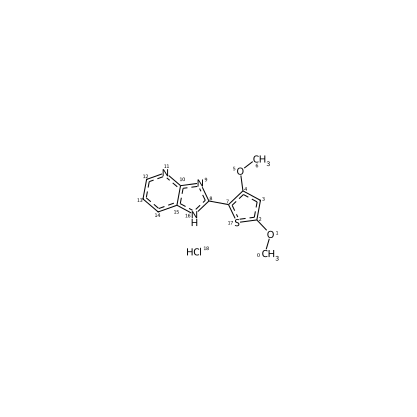 COc1cc(OC)c(-c2nc3ncccc3[nH]2)s1.Cl